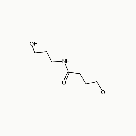 [O]CCCC(=O)NCCCO